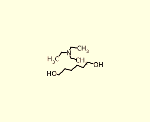 CCN(CC)CC.OCCCCCCO